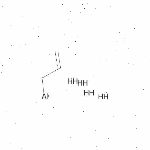 C=C[CH2][Al].[HH].[HH].[HH].[HH]